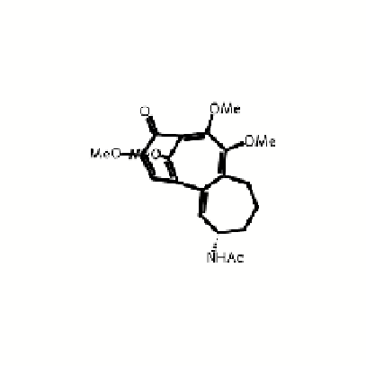 COC1=CC2=C(OC)C(=C(OC)C(OC)=C3CCC[C@H](NC(C)=O)C=C23)C1=O